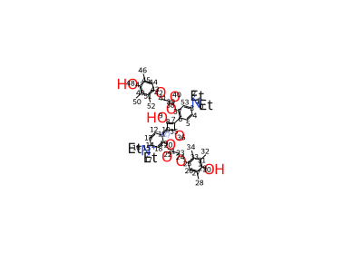 CCN(CC)c1ccc(C2=C(O)/C(=C3\C=CC(=[N+](CC)CC)C=C3OC(=O)COc3cc(C)c(O)c(C)c3C)C2=O)c(OC(=O)COc2cc(C)c(O)c(C)c2C)c1